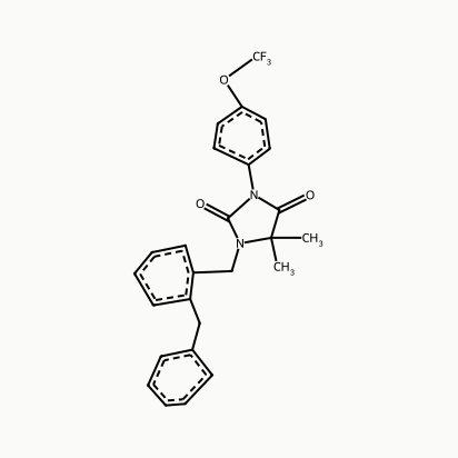 CC1(C)C(=O)N(c2ccc(OC(F)(F)F)cc2)C(=O)N1Cc1ccccc1Cc1ccccc1